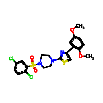 COc1ccc(OC)c(-c2csc(N3CCN(S(=O)(=O)c4cc(Cl)ccc4Cl)CC3)n2)c1